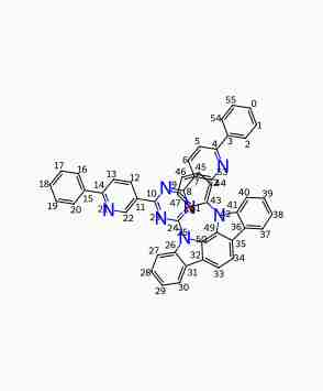 c1ccc(-c2ccc(-c3nc(-c4ccc(-c5ccccc5)nc4)nc(-n4c5ccccc5c5ccc6c7ccccc7n(-c7ccccc7)c6c54)n3)cn2)cc1